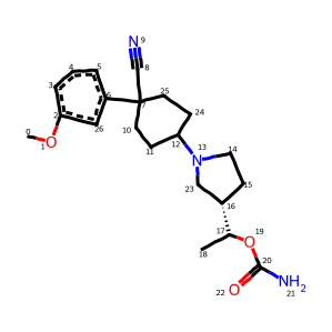 COc1cccc(C2(C#N)CCC(N3CC[C@H](C(C)OC(N)=O)C3)CC2)c1